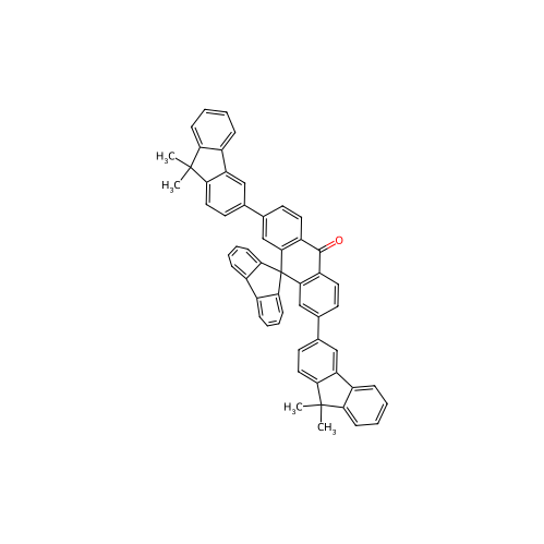 CC1(C)c2ccccc2-c2cc(-c3ccc4c(c3)C3(c5cc(-c6ccc7c(c6)-c6ccccc6C7(C)C)ccc5C4=O)c4ccccc4-c4ccccc43)ccc21